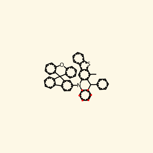 Cc1c(C(c2ccccc2)C2C=CCCC2)c(N(c2ccccc2)c2ccc3c(c2)C2(c4ccccc4Oc4ccccc42)c2ccccc2-3)cc2c1sc1ccccc12